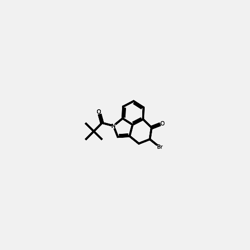 CC(C)(C)C(=O)n1cc2c3c(cccc31)C(=O)C(Br)C2